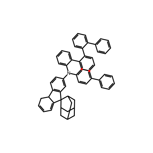 C1=CCC2C(=C1)C1(c3cc(N(c4ccc(-c5ccccc5)cc4)c4ccccc4-c4ccccc4-c4ccccc4-c4ccccc4)ccc32)C2CC3CC(C2)CC1C3